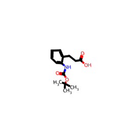 CC(C)(C)OC(=O)Nc1ccccc1CCC(=O)O